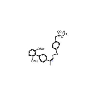 CCO[C@@H](Cc1ccc(OC/C=C(/C)c2ccc(-c3c(OC)cccc3OC)cc2)cc1)C(=O)O